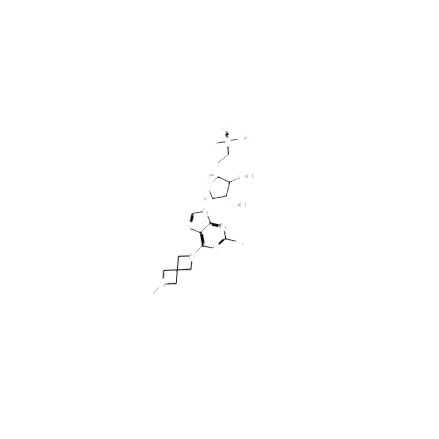 CN1CC2(C1)CN(c1nc(Cl)nc3c1ncn3[C@@H]1O[C@H](CCP(=O)(O)O)C(O)[C@@H]1O)C2